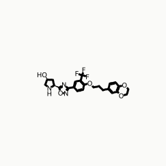 O[C@H]1CN[C@H](c2nc(-c3ccc(OCCCc4ccc5c(c4)OCCO5)c(C(F)(F)F)c3)no2)C1